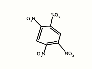 O=[N+]([O-])c1cc([N+](=O)[O-])c([N+](=O)[O-])cc1[N+](=O)[O-]